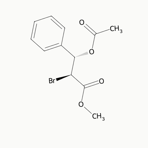 COC(=O)[C@@H](Br)[C@@H](OC(C)=O)c1ccccc1